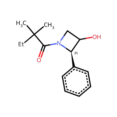 CCC(C)(C)C(=O)N1CC(O)[C@H]1c1ccccc1